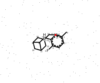 Cc1ccc(F)c(NC2C3CC2CN(CN)C3)n1